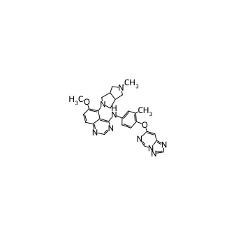 COc1ccc2ncnc(Nc3ccc(Oc4cc5ncnn5cn4)c(C)c3)c2c1N1CC2CN(C)CC2C1